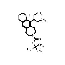 CCC(CC)c1c2c(cc3c1NCCC3)CCN(C(=O)OC(C)(C)C)CC2